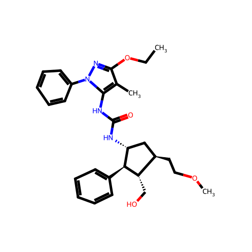 CCOc1nn(-c2ccccc2)c(NC(=O)N[C@@H]2C[C@@H](CCOC)[C@H](CO)[C@H]2c2ccccc2)c1C